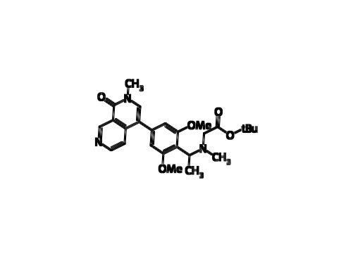 COc1cc(-c2cn(C)c(=O)c3cnccc23)cc(OC)c1C(C)N(C)CC(=O)OC(C)(C)C